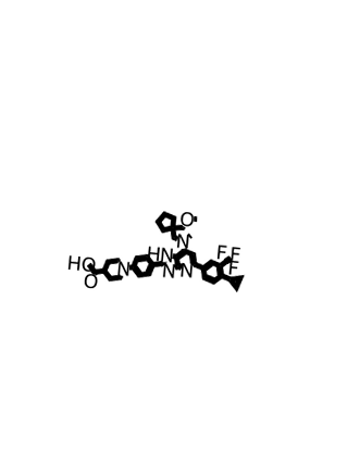 COCC1(CN(C)c2cc(-c3ccc(C4CC4)c(C(F)(F)F)c3)nc3nc(-c4ccc(N5CCC(C(=O)O)CC5)cc4)[nH]c23)CCCC1